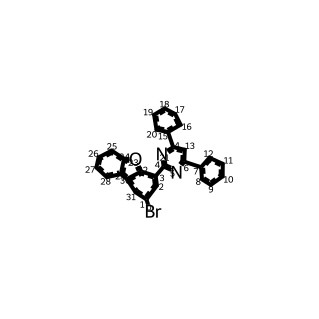 Brc1cc(-c2nc(-c3ccccc3)cc(-c3ccccc3)n2)c2oc3ccccc3c2c1